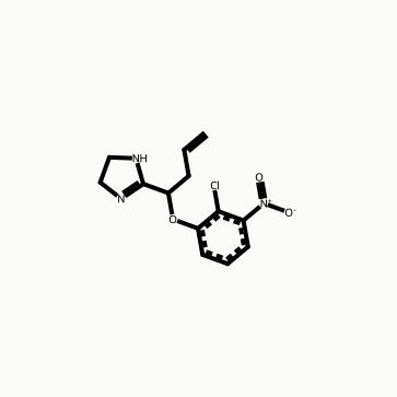 C=CCC(Oc1cccc([N+](=O)[O-])c1Cl)C1=NCCN1